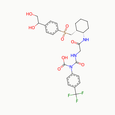 O=C(CNC(=O)N(C(=O)O)c1ccc(C(F)(F)F)cc1)N[C@H]1CCCC[C@H]1CS(=O)(=O)c1ccc(C(O)CO)cc1